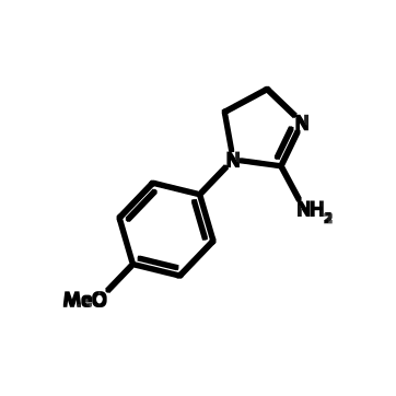 COc1ccc(N2CCN=C2N)cc1